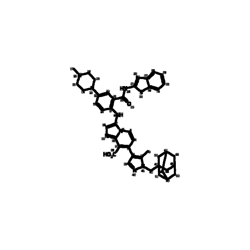 Cc1c(-c2ccn3c(Nc4ccc(N5CCN(C)CC5)cc4C(=O)Nc4nc5ccccc5s4)cnc3c2C(=O)O)cnn1CC12CC3CC(CC(C3)C1)C2